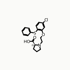 O=C(O)[C@@H]1CCCN1CCOc1cc(Cl)ccc1Sc1ccccc1